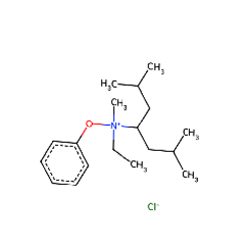 CC[N+](C)(Oc1ccccc1)C(CC(C)C)CC(C)C.[Cl-]